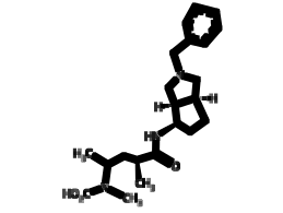 CC(C[C@H](C)C(=O)N[C@@H]1CC[C@@H]2CN(Cc3ccccc3)C[C@@H]21)N(C)C(=O)O